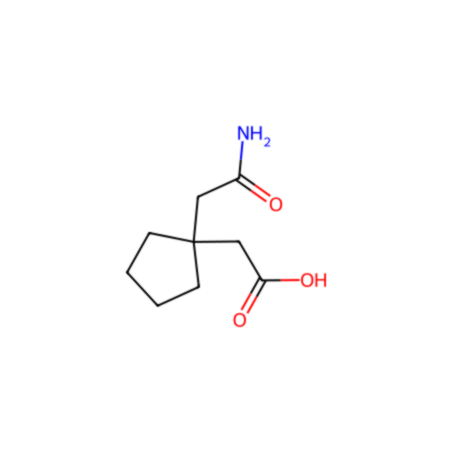 NC(=O)CC1(CC(=O)O)CCCC1